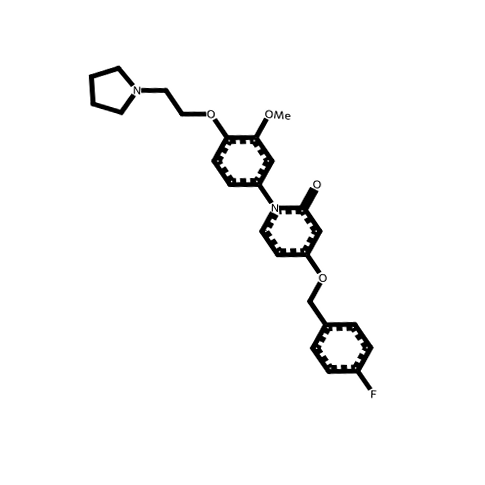 COc1cc(-n2ccc(OCc3ccc(F)cc3)cc2=O)ccc1OCCN1CCCC1